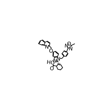 Cc1nc(-c2ccc(Cn3c([C@@H]4CCCCC4C(=O)O)nc4cc(OCc5ccc6ccccc6n5)ccc43)cc2)no1